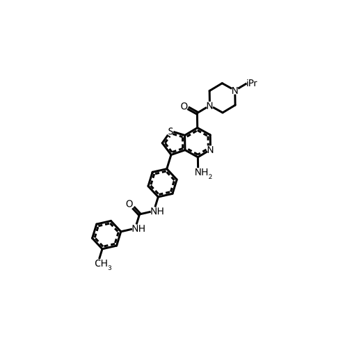 Cc1cccc(NC(=O)Nc2ccc(-c3csc4c(C(=O)N5CCN(C(C)C)CC5)cnc(N)c34)cc2)c1